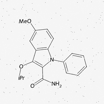 COc1ccc2c(c1)c(OC(C)C)c(C(N)=O)n2-c1ccccc1